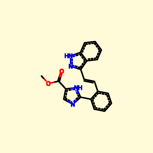 COC(=O)c1cnc(-c2ccccc2C=Cc2n[nH]c3ccccc23)[nH]1